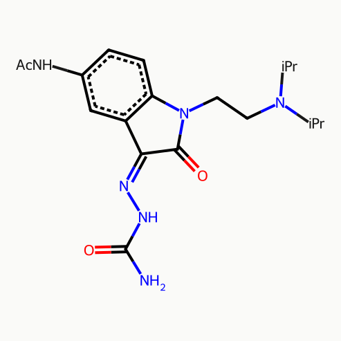 CC(=O)Nc1ccc2c(c1)C(=NNC(N)=O)C(=O)N2CCN(C(C)C)C(C)C